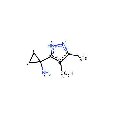 Cc1n[nH]c(C2(N)CC2)c1C(=O)O